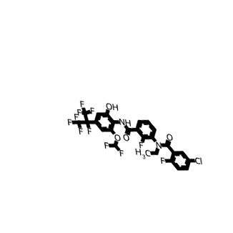 CCN(C(=O)c1cc(Cl)ccc1F)c1cccc(C(=O)Nc2c(O)cc(C(F)(C(F)(F)F)C(F)(F)F)cc2OC(F)F)c1F